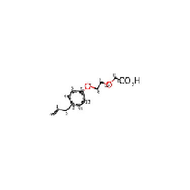 C=CCc1ccc(OCCOCC(=O)O)cc1